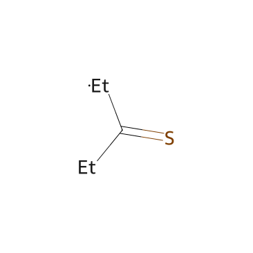 C[CH]C(=S)CC